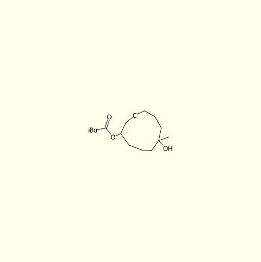 CCC(C)C(=O)OC1CCCCCC(C)(O)CCC1